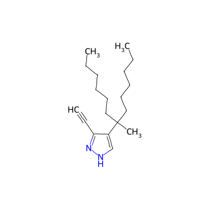 C#Cc1n[nH]cc1C(C)(CCCCCC)CCCCCC